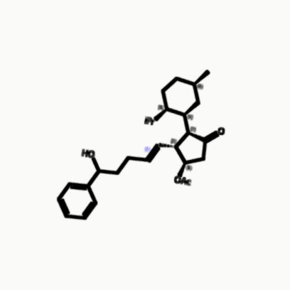 CC(=O)O[C@@H]1CC(=O)[C@H]([C@@H]2C[C@H](C)CC[C@@H]2C(C)C)[C@H]1/C=C/CCC(O)c1ccccc1